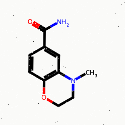 CN1CCOc2ccc(C(N)=O)cc21